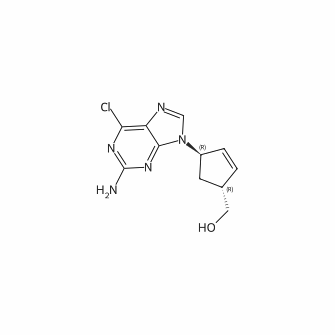 Nc1nc(Cl)c2ncn([C@H]3C=C[C@H](CO)C3)c2n1